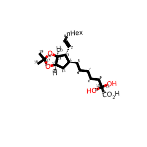 CCCCCCC=C[C@@H]1[C@@H](CCCCCC(O)(O)C(=O)O)C[C@H]2OC(C)(C)O[C@@H]12